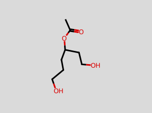 CC(=O)OC(CCO)CCCO